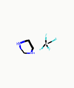 C1CNCN1.F[B-](F)(F)F